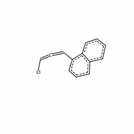 ClC=C=Cc1cccc2ccccc12